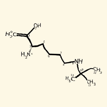 C=C(O)[C@@H](N)CCCCNC(C)(C)C